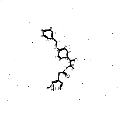 CN/C=C(\C=N)CC(=O)OC(C)C(=O)c1ccc(OCc2ccccc2)cc1